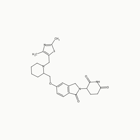 Cc1nc(C)c(CN2CCCCC2COc2ccc3c(c2)CN(C2CCC(=O)NC2=O)C3=O)s1